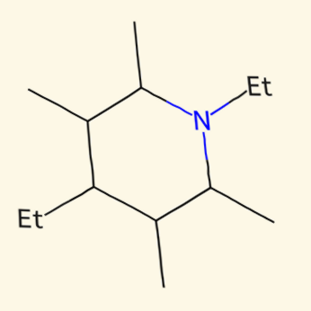 CCC1C(C)C(C)N(CC)C(C)C1C